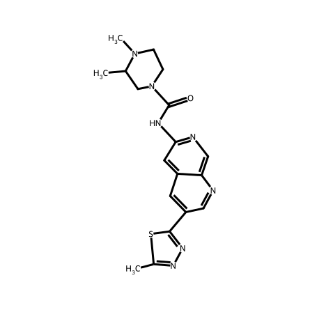 Cc1nnc(-c2cnc3cnc(NC(=O)N4CCN(C)C(C)C4)cc3c2)s1